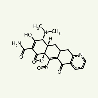 CN(C)[C@@H]1C(O)=C(C(N)=O)C(=O)[C@@]2(O)C(N=O)=C3C(=O)c4cccnc4CC3C[C@@H]12